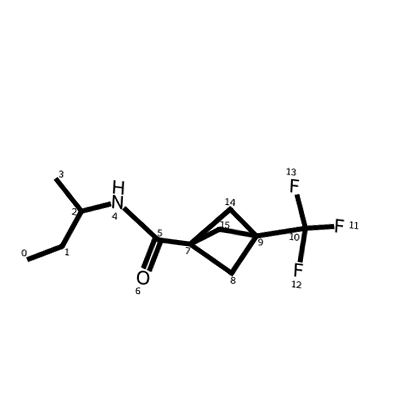 CCC(C)NC(=O)C12CC(C(F)(F)F)(C1)C2